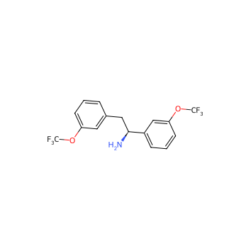 N[C@@H](Cc1cccc(OC(F)(F)F)c1)c1cccc(OC(F)(F)F)c1